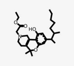 CCCCCC(C)C(C)c1cc(O)c2c(c1)OC(C)(C)C1=C2CN(CC(=O)OCC)CC1